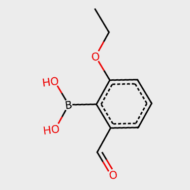 CCOc1cccc(C=O)c1B(O)O